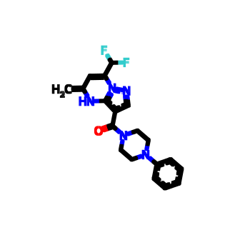 C=C1C=C(C(F)F)n2ncc(C(=O)N3CCN(c4ccccc4)CC3)c2N1